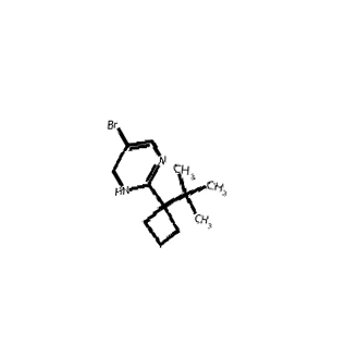 CC(C)(C)C1(C2=NC=C(Br)CN2)CCC1